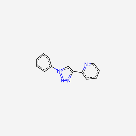 c1ccc(-n2cc(-c3ccccn3)nn2)cc1